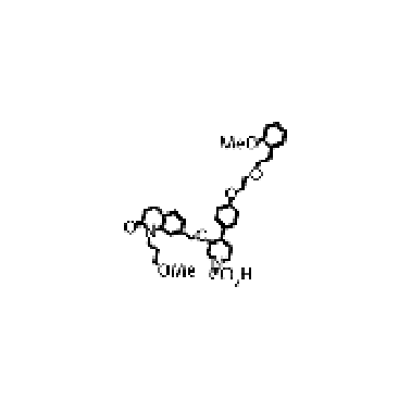 COCCCN1C(=O)CCc2ccc(COC3CN(C(=O)O)CCC3c3ccc(OCCOCCc4ccccc4OC)cc3)cc21